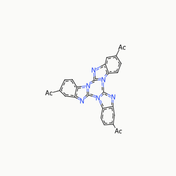 CC(=O)c1ccc2c(c1)nc1n2c2nc3cc(C(C)=O)ccc3n2c2nc3cc(C(C)=O)ccc3n12